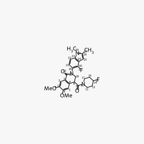 COc1cc2c(cc1OC)C(C(=O)N1CCC(F)CC1)CN(c1ccc3c(cc(C)n3C)c1F)C2=O